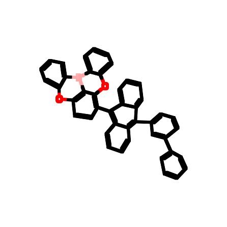 c1ccc(-c2cccc(-c3c4ccccc4c(-c4ccc5c6c4Oc4ccccc4B6c4ccccc4O5)c4ccccc34)c2)cc1